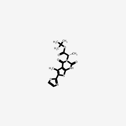 Cc1c(-c2ncco2)sc2[nH]c(=O)n([C@@H](C)C(=O)OC(C)(C)C)c(=O)c12